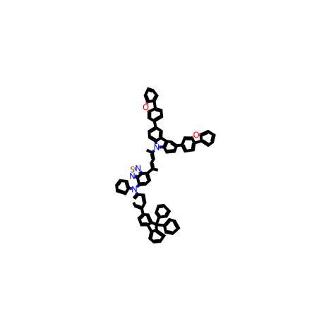 C=C(/C=C\C(=C/C)c1ccc2c(c1)C(c1ccccc1)(c1ccccc1)c1ccccc1-2)N(c1ccccc1)c1ccc(/C(C)=C/C=C(\C)n2c3ccc(-c4ccc5c(c4)oc4ccccc45)cc3c3cc(-c4ccc5c(c4)oc4ccccc45)ccc32)c2nsnc12